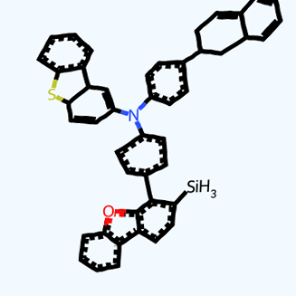 [SiH3]c1ccc2c(oc3ccccc32)c1-c1ccc(N(C2=CC3c4ccccc4SC3C=C2)c2ccc(C3CC=C4C=CC=CC4C3)cc2)cc1